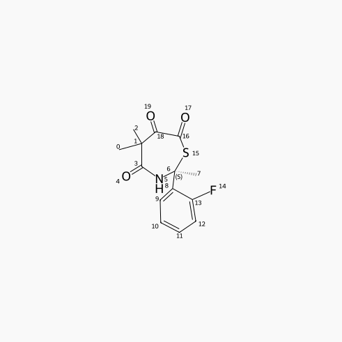 CC1(C)C(=O)N[C@](C)(c2ccccc2F)SC(=O)C1=O